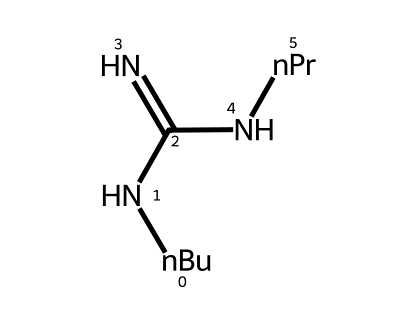 CCCCNC(=N)NCCC